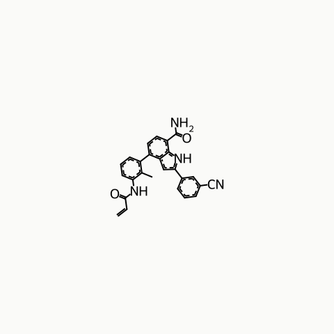 C=CC(=O)Nc1cccc(-c2ccc(C(N)=O)c3[nH]c(-c4cccc(C#N)c4)cc23)c1C